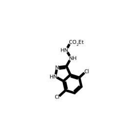 CCOC(=O)NNc1n[nH]c2c(Cl)ccc(Cl)c12